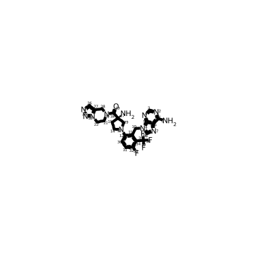 Nc1ncnc2c1ncn2Cc1c(N2CC[C@](N)(C(=O)N3CCn4nncc4C3)C2)ccc(F)c1C(F)(F)F